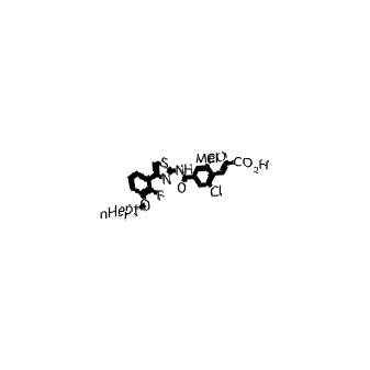 CCCCCCCOc1cccc(-c2csc(NC(=O)c3cc(Cl)c(/C=C(\OC)C(=O)O)c(Cl)c3)n2)c1F